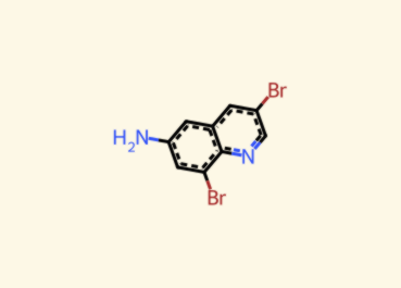 Nc1cc(Br)c2ncc(Br)cc2c1